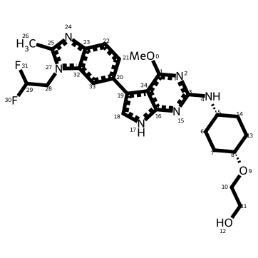 COc1nc(N[C@H]2CC[C@@H](OCCO)CC2)nc2[nH]cc(-c3ccc4nc(C)n(CC(F)F)c4c3)c12